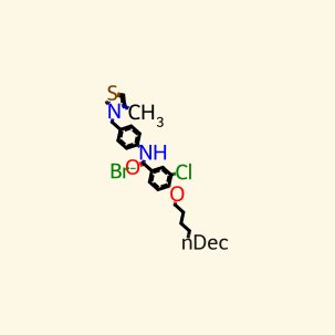 CCCCCCCCCCCCCCOc1ccc(C(=O)Nc2ccc(C[n+]3cscc3C)cc2)cc1Cl.[Br-]